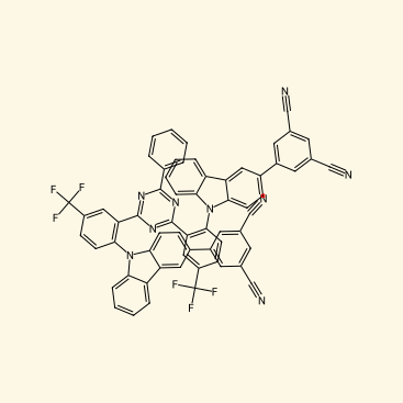 N#Cc1cc(C#N)cc(-c2ccc3c(c2)c2ccccc2n3-c2ccc(C(F)(F)F)cc2-c2nc(-c3ccccc3)nc(-c3cc(C(F)(F)F)ccc3-n3c4ccccc4c4cc(-c5cc(C#N)cc(C#N)c5)ccc43)n2)c1